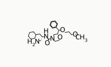 COCCCOC(c1ccccc1)C1CN(C(=O)N[C@H](CN)CC2CCCCC2)CCO1